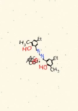 CC(=O)[O-].CC(=O)[O-].CCc1cc(C)c(O)c(C=NCN=Cc2cc(CC)cc(C)c2O)c1.[Co+2]